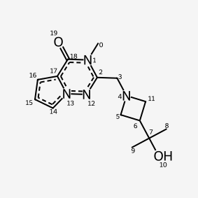 Cn1c(CN2CC(C(C)(C)O)C2)nn2cccc2c1=O